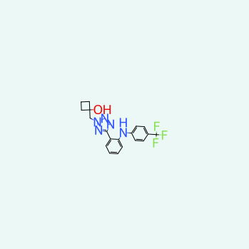 OC1(Cn2nnc(-c3ccccc3Nc3ccc(C(F)(F)F)cc3)n2)CCC1